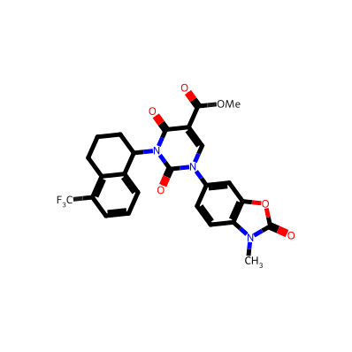 COC(=O)c1cn(-c2ccc3c(c2)oc(=O)n3C)c(=O)n(C2CCCc3c2cccc3C(F)(F)F)c1=O